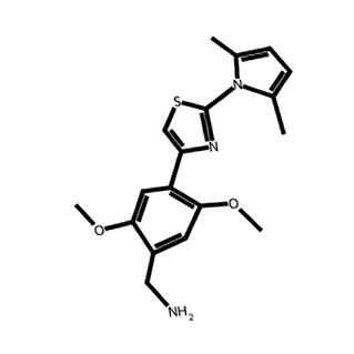 COc1cc(-c2csc(-n3c(C)ccc3C)n2)c(OC)cc1CN